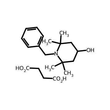 CC1(C)CC(O)CC(C)(C)N1Cc1ccccc1.O=C(O)CCC(=O)O